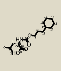 CC(C)C[C@H](NC(=O)OCCCC1CCCCC1)C(=O)O